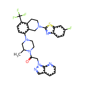 CC1CN(c2ccc(C(F)(F)F)c3c2CN(c2nc4ccc(F)cc4s2)CC3)CCN1C(=O)Cn1ncc2cccnc21